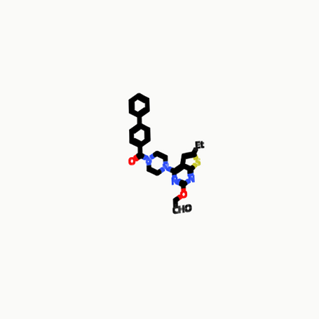 CCc1cc2c(N3CCN(C(=O)c4ccc(-c5ccccc5)cc4)CC3)nc(OCC=O)nc2s1